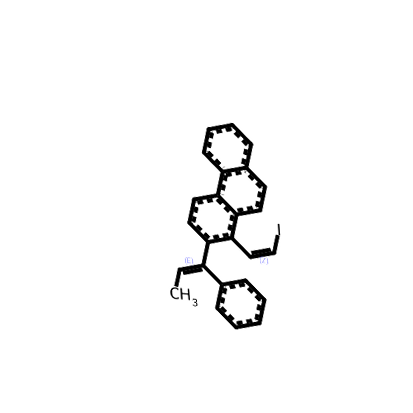 C/C=C(\c1ccccc1)c1ccc2c(ccc3ccccc32)c1/C=C\I